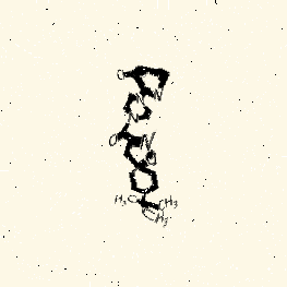 CC(C)(C)[C@H]1CC[C@]2(CC1)CC(C(=O)N1CCN(c3ncccc3Cl)CC1)=NO2